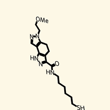 COCCn1ncc2c1CCc1c(C(=O)NCCCCCCS)n[nH]c1-2